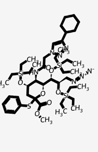 CC[Si](CC)(CC)O[C@@H]([C@@H]1OC(Sc2ccccc2)(C(=O)OC)C[C@H](O[Si](CC)(CC)CC)[C@H]1NC(=O)Cn1cc(C2CCCCC2)nn1)[C@@H](CN=[N+]=[N-])O[Si](CC)(CC)CC